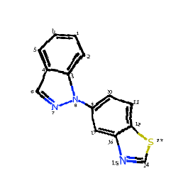 c1ccc2c(c1)cnn2-c1ccc2scnc2c1